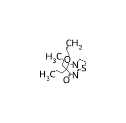 C=CCOC1N2CCSC2=NC(=O)C1(CCC)CCC